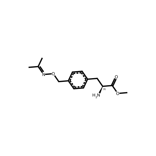 COC(=O)[C@@H](N)Cc1ccc(CON=C(C)C)cc1